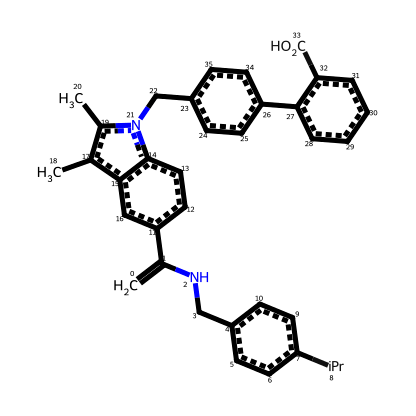 C=C(NCc1ccc(C(C)C)cc1)c1ccc2c(c1)c(C)c(C)n2Cc1ccc(-c2ccccc2C(=O)O)cc1